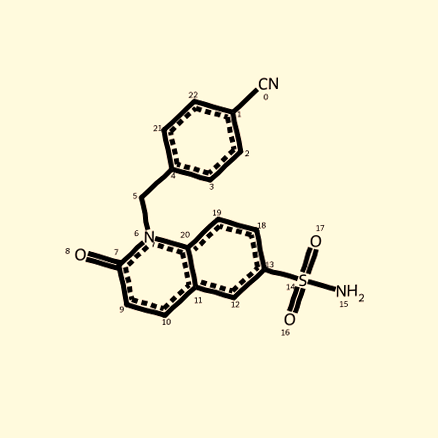 N#Cc1ccc(Cn2c(=O)ccc3cc(S(N)(=O)=O)ccc32)cc1